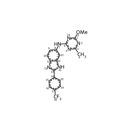 COc1nc(C)nc(Nc2ccc3nc(-c4ccc(C(F)(F)F)cc4)[nH]c3c2)n1